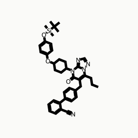 CCCc1c(Cc2ccc(-c3ccccc3C#N)cc2)c(=O)n(C2CCC(Oc3ccc(O[Si](C)(C)C(C)(C)C)cc3)CC2)c2ncnn12